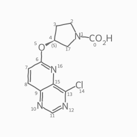 O=C(O)N1CC[C@H](Oc2ccc3ncnc(Cl)c3n2)C1